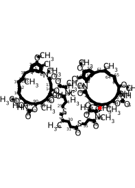 COc1cc2cc(c1Cl)N(C)C(=O)CC(OC(=O)C(C)N(C)C(=O)CCSSC(C)CCC(=O)SCCC(=O)N(C)C(C)C(=O)OC1CC(=O)N(C)c3cc(cc(OC)c3Cl)C/C(C)=C/C=C/C(OC)C3(O)CC(OC(=O)N3)C(C)C3OC13C)C1(C)OC1C(C)C1CC(O)(NC(=O)O1)C(OC)/C=C/C=C(\C)C2